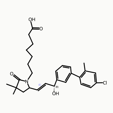 Cc1cc(Cl)ccc1-c1cccc([C@H](O)/C=C/C2CC(C)(C)C(=O)N2CCCCCCC(=O)O)c1